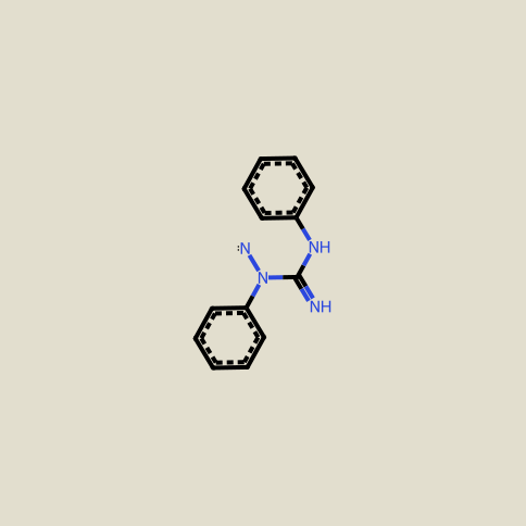 [N]N(C(=N)Nc1ccccc1)c1ccccc1